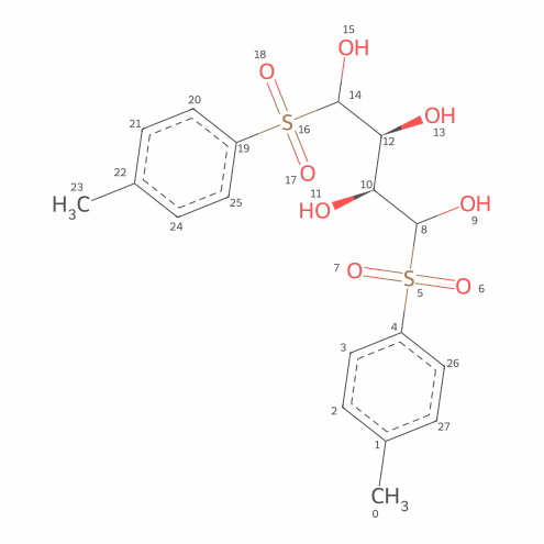 Cc1ccc(S(=O)(=O)C(O)[C@@H](O)[C@H](O)C(O)S(=O)(=O)c2ccc(C)cc2)cc1